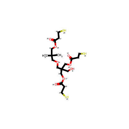 CC(C)(COCC(CO)(COC(=O)CCS)COC(=O)CCS)COC(=O)CCS